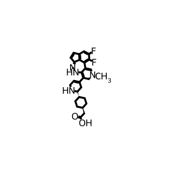 CN1C=C2C(=C(C3=CCNC([C@H]4CC[C@H](CC(=O)O)CC4)C3)C1)NN=C1C=Cc3cc(F)c(F)c2c31